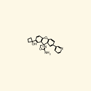 NC1=N[C@@]2(CO1)c1cc(-c3cccnc3)ccc1Oc1ccc(C3(O)CCC3)cc12